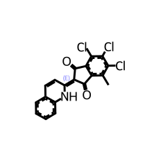 Cc1c(Cl)c(Cl)c(Cl)c2c1C(=O)/C(=C1/C=Cc3ccccc3N1)C2=O